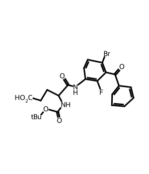 CC(C)(C)OC(=O)NC(CCC(=O)O)C(=O)Nc1ccc(Br)c(C(=O)c2ccccc2)c1F